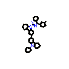 Cc1cccc(-c2nc(-n3c4ccccc4c4cc(-c5ccc6c(c5)c5ccccc5n6-c5ccccc5)ccc43)nc3ccccc23)c1